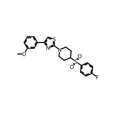 COc1cccc(-c2csc(N3CCC(S(=O)(=O)c4ccc(F)cc4)CC3)n2)c1